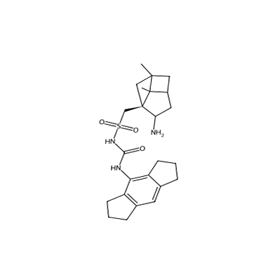 CC12CC3CC(N)[C@](CS(=O)(=O)NC(=O)Nc4c5c(cc6c4CCC6)CCC5)(C1)C32C